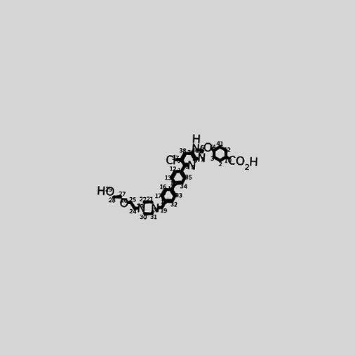 O=C(O)C1CCC(Oc2nc3nc(-c4ccc(-c5ccc(CN6CCN(CCOCCO)CC6)cc5)cc4)c(Cl)cc3[nH]2)CC1